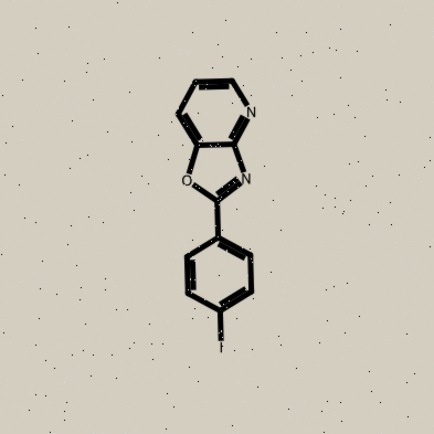 Ic1ccc(-c2nc3ncccc3o2)cc1